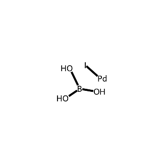 OB(O)O.[Pd][I]